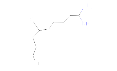 CCCCC(C)CCCCC(N)N